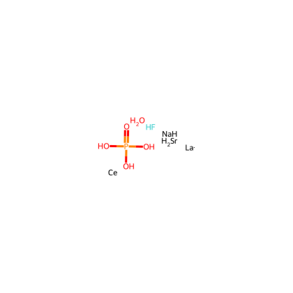 F.O.O=P(O)(O)O.[Ce].[La].[NaH].[SrH2]